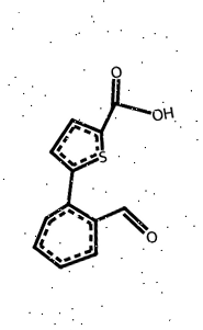 O=Cc1ccccc1-c1ccc(C(=O)O)s1